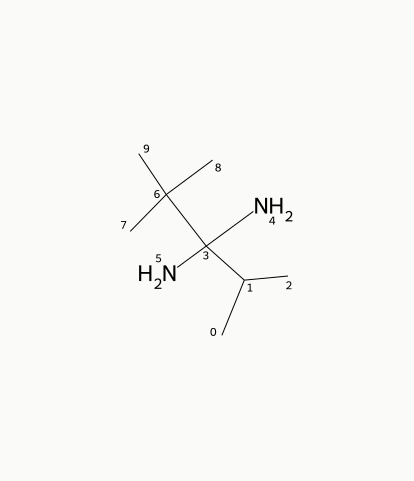 CC(C)C(N)(N)C(C)(C)C